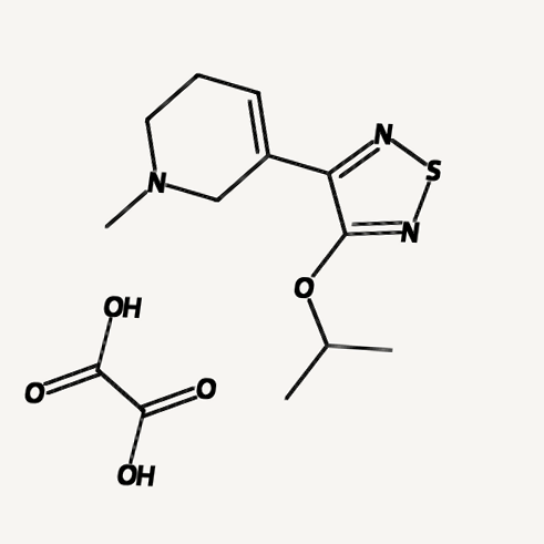 CC(C)Oc1nsnc1C1=CCCN(C)C1.O=C(O)C(=O)O